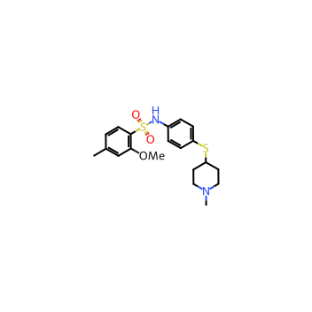 COc1cc(C)ccc1S(=O)(=O)Nc1ccc(SC2CCN(C)CC2)cc1